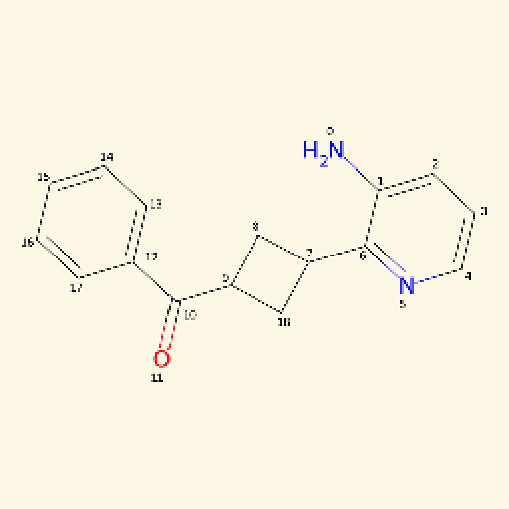 Nc1cccnc1C1CC(C(=O)c2ccccc2)C1